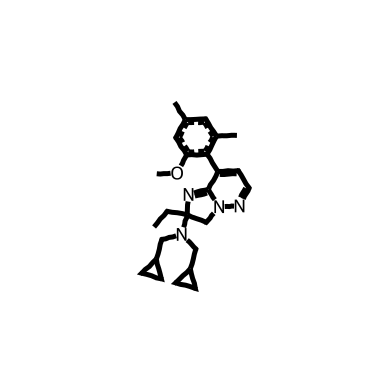 CCC1(N(CC2CC2)CC2CC2)CN2N=CC=C(c3c(C)cc(C)cc3OC)C2=N1